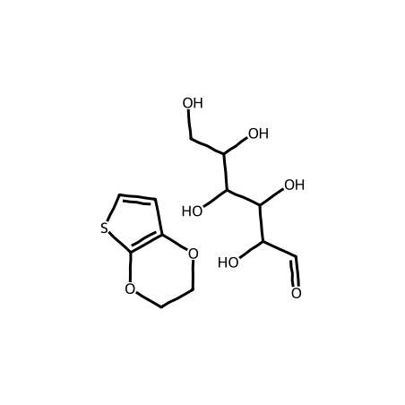 O=CC(O)C(O)C(O)C(O)CO.c1cc2c(s1)OCCO2